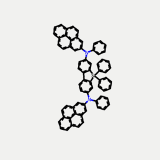 c1ccc(N(c2ccc3c(c2)[Si](c2ccccc2)(c2ccccc2)c2cc(N(c4ccccc4)c4cc5ccc6cccc7ccc(c4)c5c67)ccc2-3)c2cc3ccc4cccc5ccc(c2)c3c45)cc1